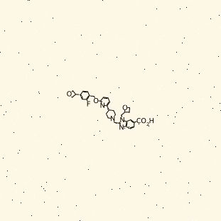 O=C(O)c1ccc2nc(CN3CCC(c4cccc(OCc5ccc(C6COC6)cc5F)n4)CC3)n(CC3CCO3)c2c1